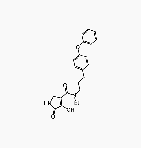 CCN(CCCc1ccc(Oc2ccccc2)cc1)C(=O)C1=C(O)C(=O)NC1